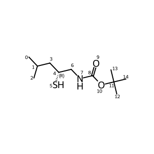 CC(C)C[C@@H](S)CNC(=O)OC(C)(C)C